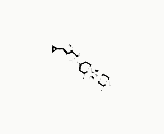 C[C@H]1CN(S(=O)(=O)N2CC[C@H](NC(=O)c3cc(C4CC4)on3)C[C@@H]2C)CCN1C